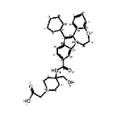 O=C(O)CN1CCC(CO)(NC(=O)c2ccc3c(C4CCCCC4)c4n(c3c2)CCOc2ccccc2-4)CC1